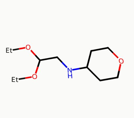 CCOC(CNC1CCOCC1)OCC